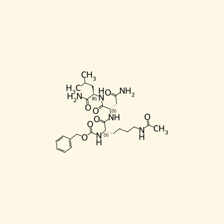 CC(=O)NCCCC[C@H](NC(=O)OCc1ccccc1)C(=O)N[C@@H](CC(N)=O)C(=O)N[C@H](CC(C)C)C(N)=O